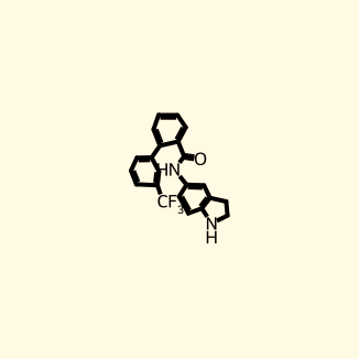 O=C(Nc1ccc2c(c1)CCN2)c1ccccc1-c1cccc(C(F)(F)F)c1